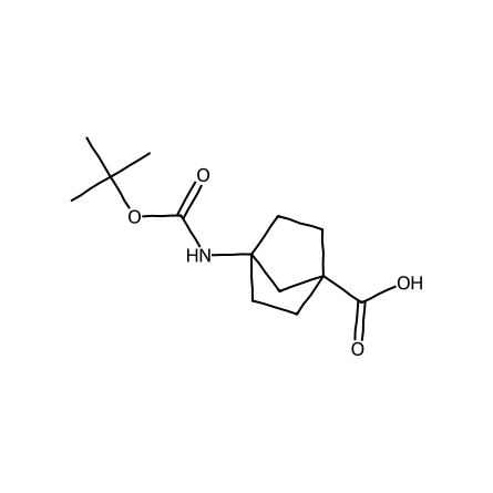 CC(C)(C)OC(=O)NC12CCC(C(=O)O)(CC1)C2